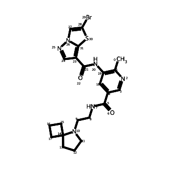 Cc1ncc(C(=O)NCCN2CCCC23CCC3)cc1NC(=O)c1cnn2cc(Br)sc12